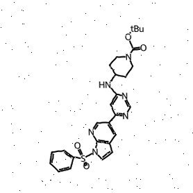 CC(C)(C)OC(=O)N1CCC(Nc2cc(-c3cnc4c(ccn4S(=O)(=O)c4ccccc4)c3)ncn2)CC1